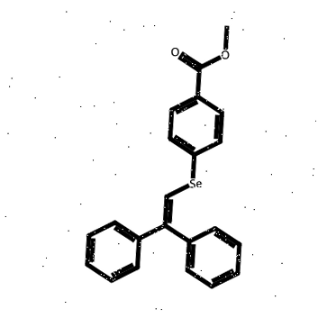 COC(=O)c1ccc([Se]C=C(c2ccccc2)c2ccccc2)cc1